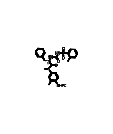 CC(=O)Nc1ccc(N(C)C(=O)[C@H](Cc2ccccc2)NC(=O)NS(=O)(=O)c2ccccc2C)cc1C